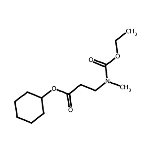 CCOC(=O)N(C)CCC(=O)OC1CCCCC1